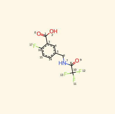 O=C(O)c1cc(CNC(=O)C(F)(F)F)ccc1F